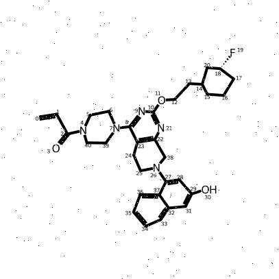 C=CC(=O)N1CCN(c2nc(OCCC3CCC[C@@H](F)C3)nc3c2CCN(c2cc(O)cc4ccccc24)C3)CC1